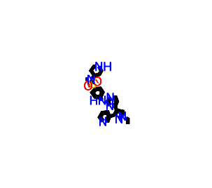 CCn1cc(-c2ccnc(Nc3ccc(S(=O)(=O)N(C)C4CCNCC4)cc3)n2)c(-c2cccnc2)n1